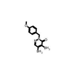 Bc1cnn(Cc2ccc(OC)cc2)c(=O)c1B